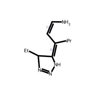 CCC1N=NN/C1=C(/C=C\N)C(C)C